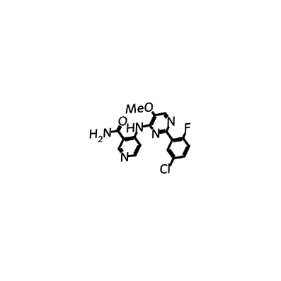 COc1cnc(-c2cc(Cl)ccc2F)nc1Nc1ccncc1C(N)=O